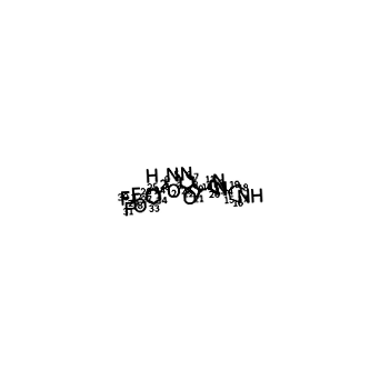 CC(Oc1c(N)ncc2c(-c3cnn(C4CCNCC4)c3)coc12)c1ccc(OC(F)(F)F)cc1